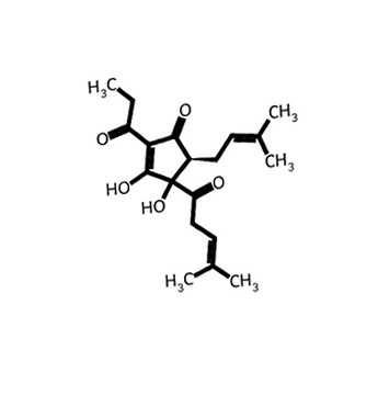 CCC(=O)C1=C(O)C(O)(C(=O)CC=C(C)C)[C@H](CC=C(C)C)C1=O